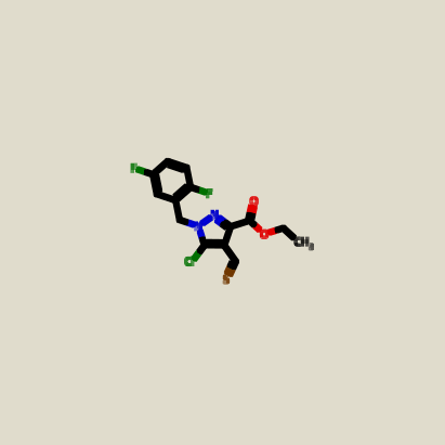 CCOC(=O)c1nn(Cc2cc(F)ccc2F)c(Cl)c1C=S